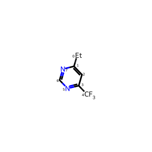 CCc1cc(C(F)(F)F)ncn1